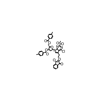 Cc1ccc(C(=O)OC[C@H]2OC(n3cc(CCON4C(=O)c5ccccc5C4=O)c4c(Cl)nc(S(C)(=O)=O)nc43)C[C@@H]2OC(=O)c2ccc(C)cc2)cc1